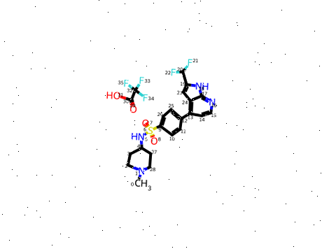 CN1CCC(NS(=O)(=O)c2ccc(-c3ccnc4[nH]c(C(F)F)cc34)cc2)CC1.O=C(O)C(F)(F)F